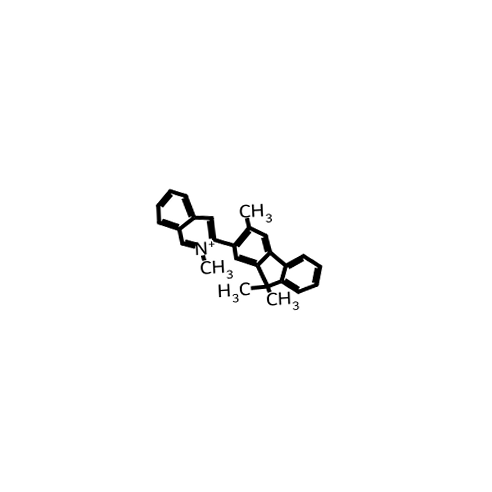 Cc1cc2c(cc1-c1cc3ccccc3c[n+]1C)C(C)(C)c1ccccc1-2